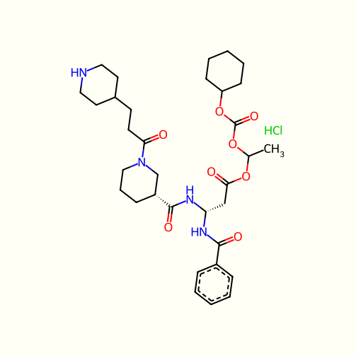 CC(OC(=O)C[C@H](NC(=O)c1ccccc1)NC(=O)[C@@H]1CCCN(C(=O)CCC2CCNCC2)C1)OC(=O)OC1CCCCC1.Cl